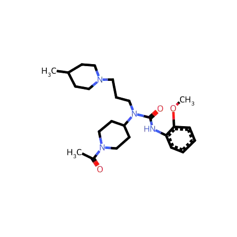 COc1ccccc1NC(=O)N(CCCN1CCC(C)CC1)C1CCN(C(C)=O)CC1